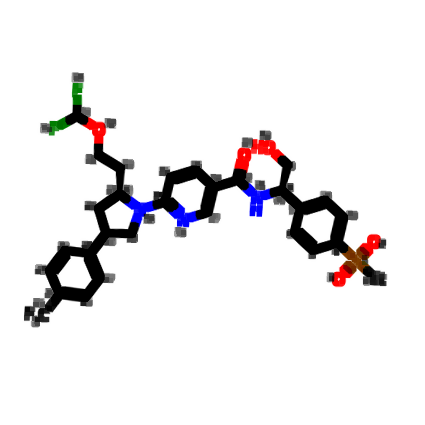 CCS(=O)(=O)c1ccc([C@H](CO)NC(=O)c2ccc(N3CC(c4ccc(C(F)(F)F)cc4)C[C@H]3CCOC(F)F)nc2)cc1